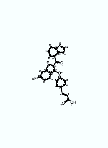 O=C(O)/C=C/c1ccc(Oc2c(C(=O)c3cccc4sccc34)sc3cc(F)ccc23)cc1